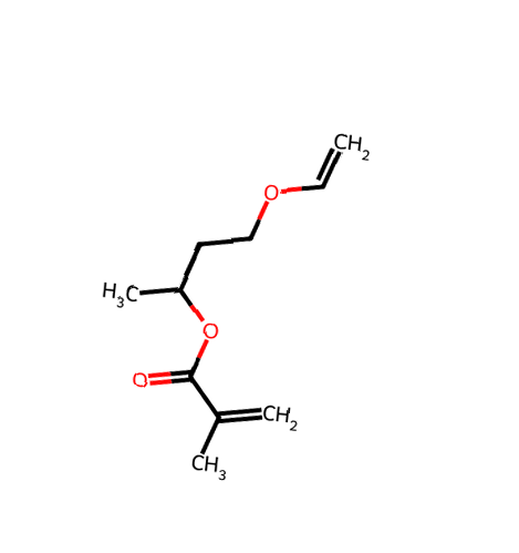 C=COCCC(C)OC(=O)C(=C)C